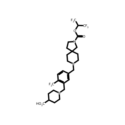 O=C(O)C1CCN(Cc2cc(CN3CCC4(CC3)CCN(C(=O)OC(C(F)(F)F)C(F)(F)F)C4)ccc2C(F)(F)F)CC1